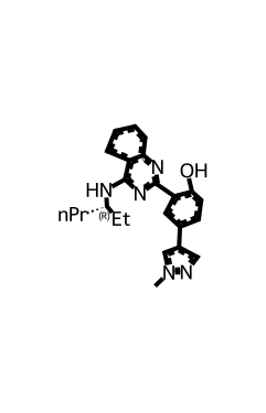 CCC[C@@H](CC)Nc1nc(-c2cc(-c3cnn(C)c3)ccc2O)nc2ccccc12